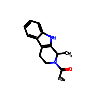 CCCCC(=O)N1CCc2c([nH]c3ccccc23)C1C